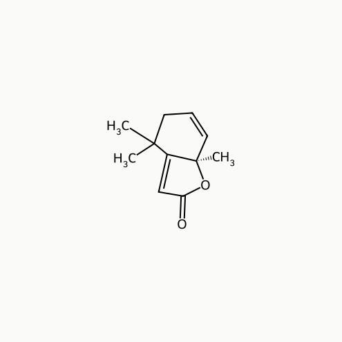 CC1(C)CC=C[C@@]2(C)OC(=O)C=C12